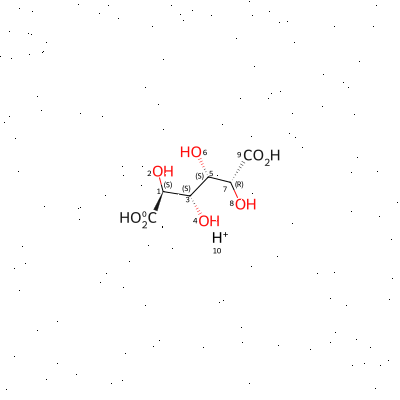 O=C(O)[C@@H](O)[C@@H](O)[C@H](O)[C@@H](O)C(=O)O.[H+]